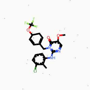 COc1cnc(Nc2cccc(Cl)c2C)n(CC2=CCC(OC(F)(F)F)C=C2)c1=O